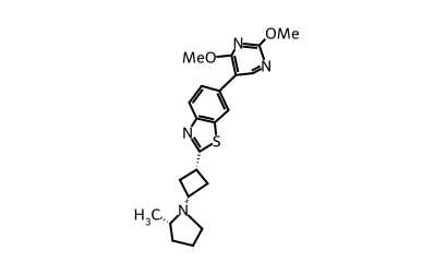 COc1ncc(-c2ccc3nc([C@H]4C[C@@H](N5CCC[C@@H]5C)C4)sc3c2)c(OC)n1